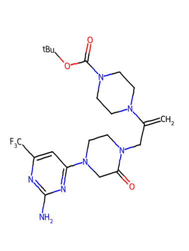 C=C(CN1CCN(c2cc(C(F)(F)F)nc(N)n2)CC1=O)N1CCN(C(=O)OC(C)(C)C)CC1